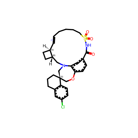 O=C1NS(=O)(=O)CCCC/C=C/[C@@H]2CC[C@H]2CN2C[C@@]3(CCCc4cc(Cl)ccc43)COc3ccc1cc32